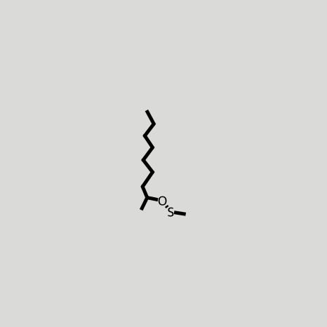 CCCCCCCC(C)OSC